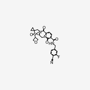 N#Cc1ccc(CNC(=O)c2ccc3n(c2=O)CCN(CC2(S(=O)(=O)C4COC4)CC2)C3=O)cc1F